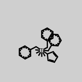 [CH3][Ti]([CH3])([CH3])([CH3])([CH3])([CH2]c1ccccc1)([CH2]c1ccccc1)([CH2]c1ccccc1)[CH]1C=CC=C1